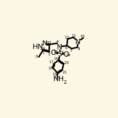 Cc1cc(CN(C2CCN(C)CC2)S(=O)(=O)c2ccc(N)cc2)n[nH]1